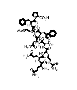 CSCC[C@H](NC(=O)[C@H](Cc1c[nH]c2ccccc12)NC(=O)[C@H](CC(N)=O)NC(=O)[C@H](CO)NC(=O)[C@H](CCCNC(=N)N)NC(=O)[C@H](CCC(N)=O)NC(=O)[C@@H](N)CCC(N)=O)C(=O)N[C@@H](Cc1ccccc1)C(=O)N1CCC[C@H]1C(=O)O